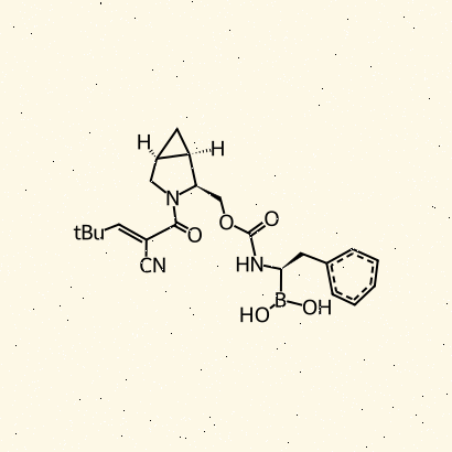 CC(C)(C)C=C(C#N)C(=O)N1C[C@H]2C[C@H]2[C@H]1COC(=O)N[C@@H](Cc1ccccc1)B(O)O